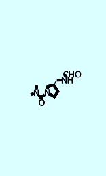 CN(C)C(=O)N1CC[C@@H](CNC=O)C1